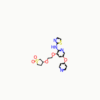 O=S1(=O)CCC(OCCOc2cc(Oc3ccncc3)cnc2Nc2nccs2)C1